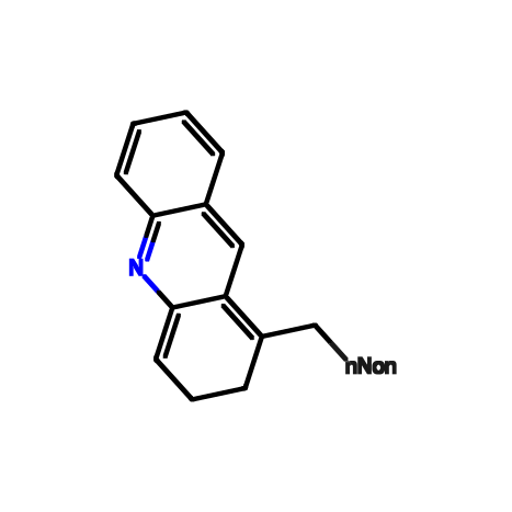 CCCCCCCCCCC1=c2cc3ccccc3nc2=CCC1